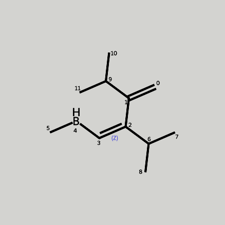 C=C(/C(=C\BC)C(C)C)C(C)C